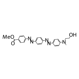 COC(=O)c1ccc(N=Nc2ccc(N=Nc3ccc(N(C)CCO)cc3)cc2)cc1